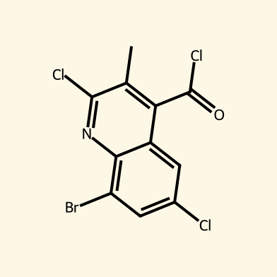 Cc1c(Cl)nc2c(Br)cc(Cl)cc2c1C(=O)Cl